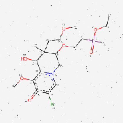 CCOP(C)(=O)CCOC1Cn2cc(Br)c(=O)c(OC)c2C(O)C1(C)CCOC